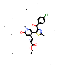 CCOC(=O)/C=C/c1cc(=O)n(C)cc1-c1sc(C)nc1C(=O)c1ccc(Cl)cc1